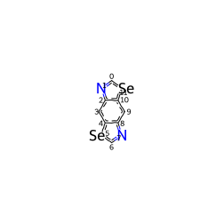 c1nc2cc3[se]cnc3cc2[se]1